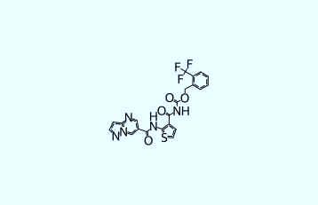 O=C(NC(=O)c1ccsc1NC(=O)c1cnc2ccnn2c1)OCc1ccccc1C(F)(F)F